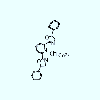 [Cl-].[Cl-].[Co+2].c1ccc(C2CN=C(c3cccc(C4=NCC(c5ccccc5)O4)n3)O2)cc1